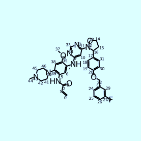 C=CC(=O)Nc1cc(Nc2cc(N3OCCC3c3ccc(OCc4cccc(F)c4)cc3)ncn2)c(OC)cc1N1CCN(C)CC1